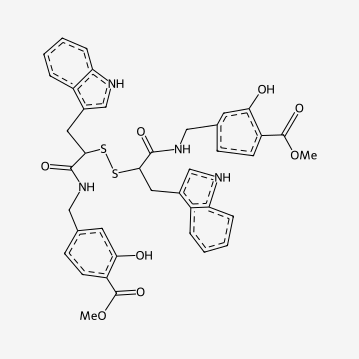 COC(=O)c1ccc(CNC(=O)C(Cc2c[nH]c3ccccc23)SSC(Cc2c[nH]c3ccccc23)C(=O)NCc2ccc(C(=O)OC)c(O)c2)cc1O